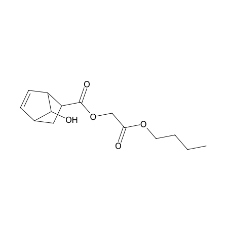 CCCCOC(=O)COC(=O)C1CC2C=CC1C2O